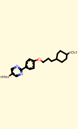 CCCCCCCCC1CCC(CCCOc2ccc(-c3ncc(CCCCCC)cn3)cc2)CC1